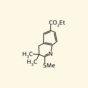 CCOC(=O)c1ccc2c(c1)CC(C)(C)C(SC)=N2